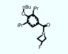 CCCCOc1c(C(C)C)cc(C(=O)N2CC(F)C2)cc1C(C)C